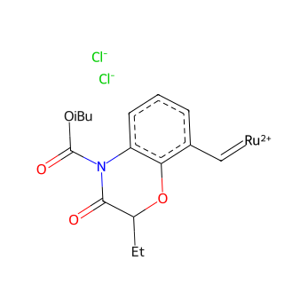 CCC1Oc2c([CH]=[Ru+2])cccc2N(C(=O)OCC(C)C)C1=O.[Cl-].[Cl-]